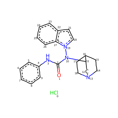 Cl.O=C(Nc1ccccc1)N(C1CN2CCC1CC2)n1ccc2ccccc21